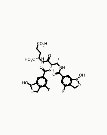 C[C@H](NC(=O)c1cc(F)c2c(c1)B(O)OC2)[C@H](NC(=O)c1cc(F)c2c(c1)B(O)OC2)C(=O)N[C@@H](CCC(=O)O)C(=O)O